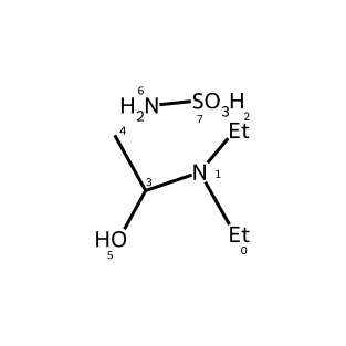 CCN(CC)C(C)O.NS(=O)(=O)O